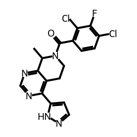 CC1c2ncnc(-c3ccn[nH]3)c2CCN1C(=O)c1ccc(Cl)c(F)c1Cl